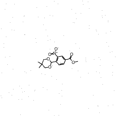 COC(=O)c1ccc(C2OCC(C)(C)CO2)c([N+](=O)[O-])c1